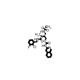 CN(C(=O)NCc1cccc(F)c1Cl)[C@@H](CNS(C)(=O)=O)COC(=O)Nc1cc2ccccc2cn1